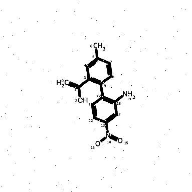 C=C(O)c1cc(C)ccc1-c1ccc([N+](=O)[O-])cc1N